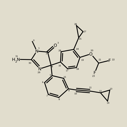 CN1C(=O)C(c2cccc(C#CC3CC3)c2)(c2ccc(OC(F)F)c(C3CC3)c2)N=C1N